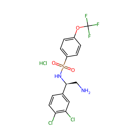 Cl.NC[C@H](NS(=O)(=O)c1ccc(OC(F)(F)F)cc1)c1ccc(Cl)c(Cl)c1